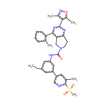 CCc1cc(NC(=O)N2CCc3nc(-c4c(C)noc4C)nc(-c4ccccc4C)c3C2)cc(-c2cnc(S(C)(=O)=O)c(C)c2)c1